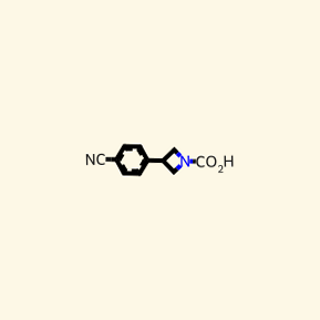 N#Cc1ccc(C2CN(C(=O)O)C2)cc1